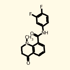 CN1CCC(=O)c2cccc(C(=O)Nc3ccc(F)c(F)c3)c21